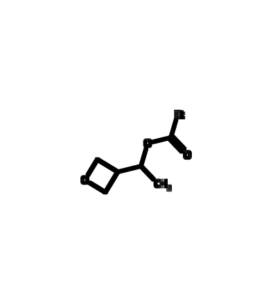 CCC(=O)OC(C)C1COC1